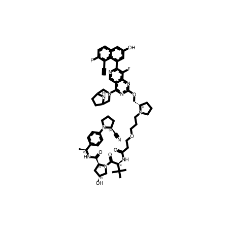 C#Cc1c(F)ccc2cc(O)cc(-c3ncc4c(N5CC6CCC(C5)N6)nc(OC[C@@H]5CCCN5CCCOCCC(=O)N[C@H](C(=O)N5C[C@H](O)C[C@H]5C(=O)N[C@@H](C)c5ccc(N6CCC[C@H]6C#N)cc5)C(C)(C)C)nc4c3F)c12